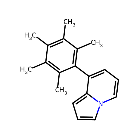 Cc1c(C)c(C)c(-c2cccn3cccc23)c(C)c1C